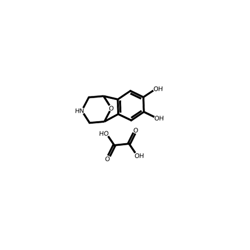 O=C(O)C(=O)O.Oc1cc2c(cc1O)C1CNCC2O1